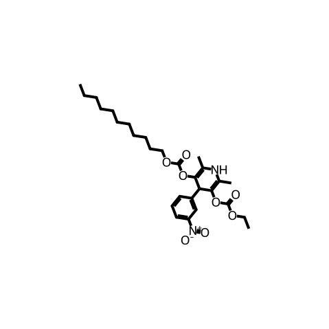 CCCCCCCCCCCOC(=O)OC1=C(C)NC(C)=C(OC(=O)OCC)C1c1cccc([N+](=O)[O-])c1